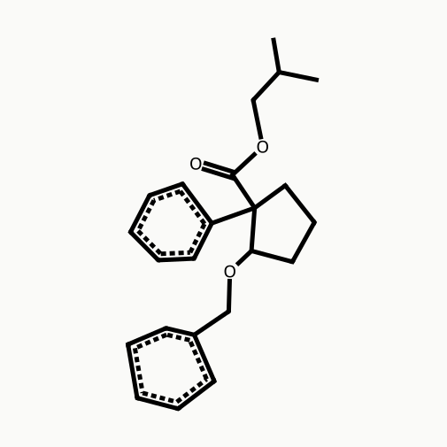 CC(C)COC(=O)C1(c2ccccc2)CCCC1OCc1ccccc1